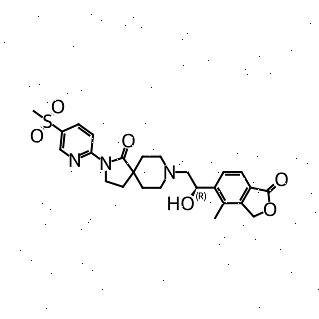 Cc1c([C@@H](O)CN2CCC3(CC2)CCN(c2ccc(S(C)(=O)=O)cn2)C3=O)ccc2c1COC2=O